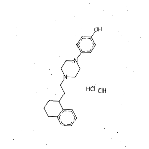 Cl.Cl.Oc1ccc(N2CCN(CCC3CCCc4ccccc43)CC2)cc1